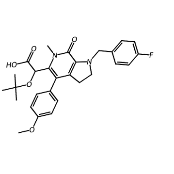 COc1ccc(-c2c3c(c(=O)n(C)c2C(OC(C)(C)C)C(=O)O)N(Cc2ccc(F)cc2)CC3)cc1